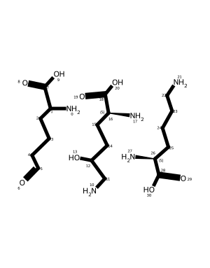 NC(CCCC=O)C(=O)O.NCC(O)CC[C@H](N)C(=O)O.NCCCC[C@H](N)C(=O)O